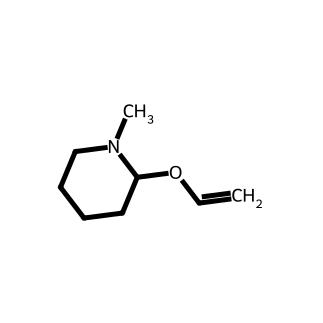 C=COC1CCCCN1C